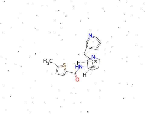 Cc1ccc(C(=O)N[C@@H]2C3CCN(CC3)[C@@H]2Cc2cccnc2)s1